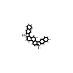 c1ccc2cc3c(cc2c1)[nH]c1ccc2c4ccc5[nH]c6cc7ccccc7cc6c5c4ccc2c13